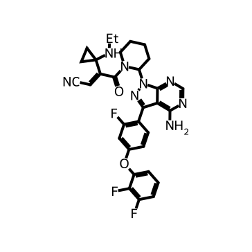 CCNC1(C(=CC#N)C(=O)N2CCCCC2n2nc(-c3ccc(Oc4cccc(F)c4F)cc3F)c3c(N)ncnc32)CC1